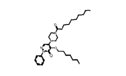 CCCCCCCCCC(=O)N1CCN(c2cnn(-c3ccccc3)c(=O)c2OCCCCCCC)CC1